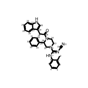 Cc1ccccc1N/C(=N/C#N)N1CCN(C(=O)Cc2c[nH]c3ccccc23)C(c2ccccc2)C1